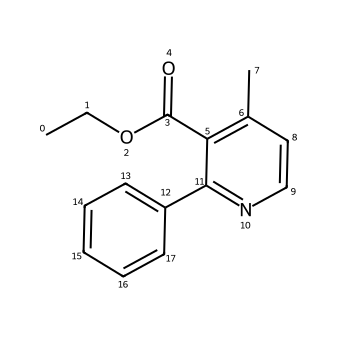 CCOC(=O)c1c(C)ccnc1-c1ccccc1